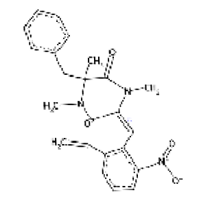 C=Cc1cccc([N+](=O)[O-])c1/C=C1\C(=O)N(C)C(C)(Cc2ccccc2)C(=O)N1C